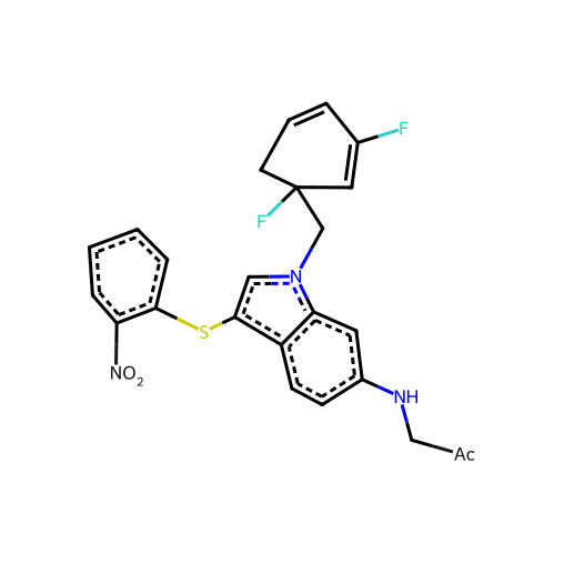 CC(=O)CNc1ccc2c(Sc3ccccc3[N+](=O)[O-])cn(CC3(F)C=C(F)C=CC3)c2c1